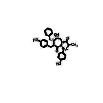 CC(C)C(=O)N1C[C@@H](O)[C@@H](Cc2ccccc2)N(Cc2ccc(O)cc2)C(=O)N1Cc1ccc(O)cc1